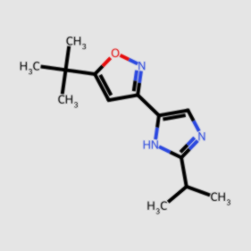 CC(C)c1ncc(-c2cc(C(C)(C)C)on2)[nH]1